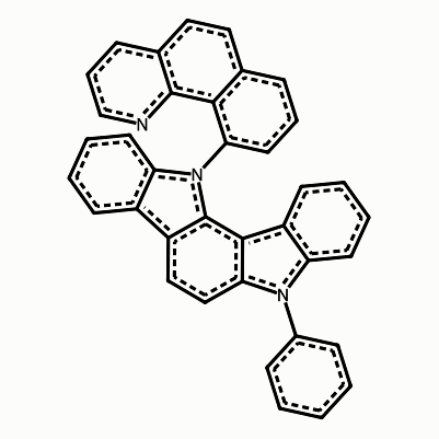 c1ccc(-n2c3ccccc3c3c2ccc2c4ccccc4n(-c4cccc5ccc6cccnc6c45)c23)cc1